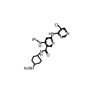 CC(=O)NC1CCC(NC(=O)c2cnc(Nc3ncncc3Cl)cc2NC(C)C)CC1